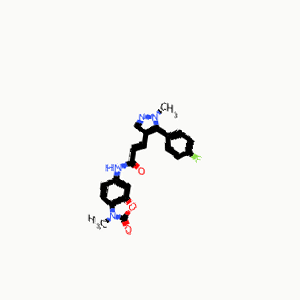 Cn1ncc(/C=C/C(=O)Nc2ccc3c(c2)oc(=O)n3C)c1-c1ccc(F)cc1